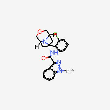 CCCn1nc(C(=O)N[C@H]2C[C@H]3COC[C@@H](C2)N3Cc2ccccc2F)c2ccccc21